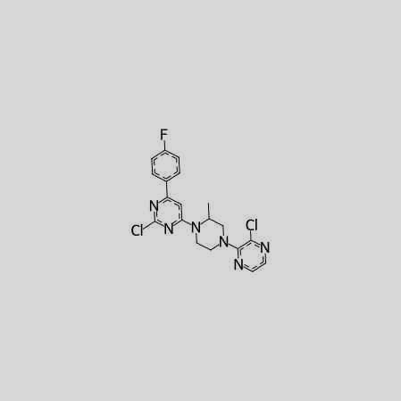 CC1CN(c2nccnc2Cl)CCN1c1cc(-c2ccc(F)cc2)nc(Cl)n1